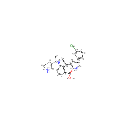 COC(=O)c1cccc2c1c(-c1cncc(-c3cccc(Cl)c3)c1)cn2C(C)C1CCCNC1